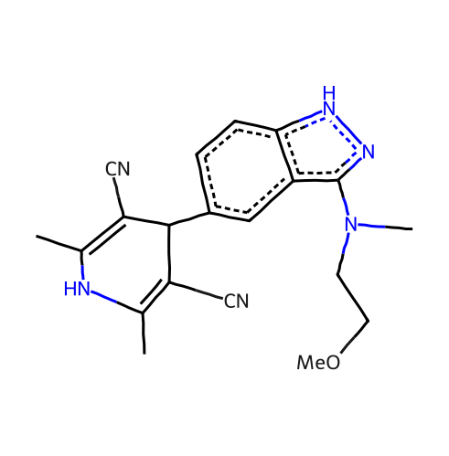 COCCN(C)c1n[nH]c2ccc(C3C(C#N)=C(C)NC(C)=C3C#N)cc12